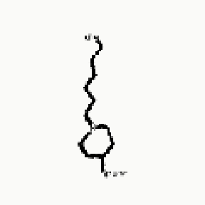 CCCC(C)C1CCN(CCCCCCC(C)(C)C)CC1